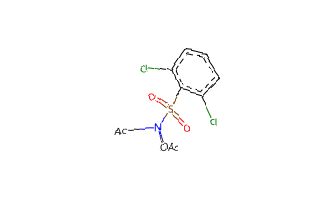 CC(=O)ON(C(C)=O)S(=O)(=O)c1c(Cl)cccc1Cl